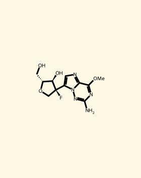 COc1nc(N)nn2c([C@]3(F)CO[C@H](CO)[C@H]3O)cnc12